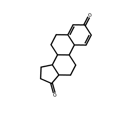 O=C1C=CC2C(=C1)CCC1C2CCC2C(=O)CCC21